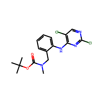 CN(Cc1ccccc1Nc1nc(Cl)ncc1Cl)C(=O)OC(C)(C)C